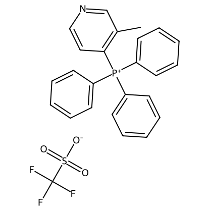 Cc1cnccc1[P+](c1ccccc1)(c1ccccc1)c1ccccc1.O=S(=O)([O-])C(F)(F)F